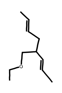 CC=CCC(C=CC)COCC